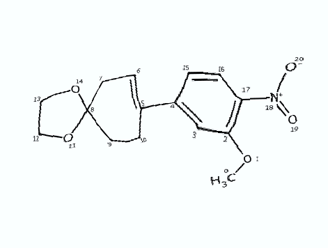 COc1cc(C2=CCC3(CC2)OCCO3)ccc1[N+](=O)[O-]